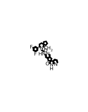 C=C1N(CC(=O)Nc2cc3c(cn2)CC2(C3)C(=O)Nc3ncccc32)[C@H](c2cc(F)cc(F)c2)CCC12CCCC2